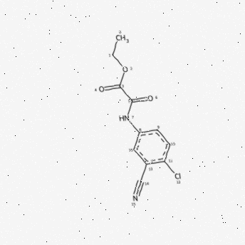 CCOC(=O)C(=O)Nc1ccc(Cl)c(C#N)c1